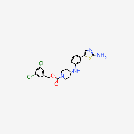 Nc1ncc(-c2cccc(NC3CCN(C(=O)OCc4cc(Cl)cc(Cl)c4)CC3)c2)s1